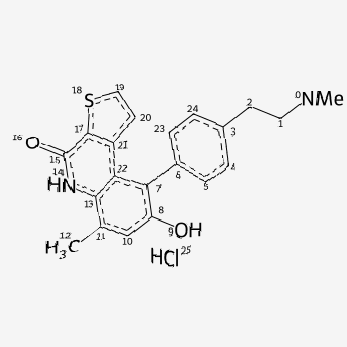 CNCCc1ccc(-c2c(O)cc(C)c3[nH]c(=O)c4sccc4c23)cc1.Cl